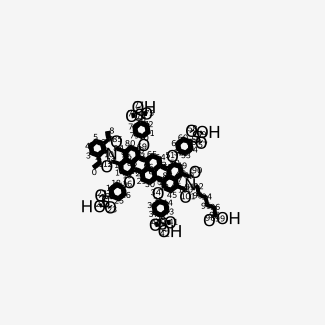 C=Cc1cccc(C=C)c1N1C(=O)c2cc(Oc3ccc(S(=O)(=O)O)cc3)c3c4ccc5c6c(Oc7ccc(S(=O)(=O)O)cc7)cc7c8c(cc(Oc9ccc(S(=O)(=O)O)cc9)c(c9ccc(c%10c(Oc%11ccc(S(=O)(=O)O)cc%11)cc(c2c3%10)C1=O)c4c59)c86)C(=O)N(CCCCCC(=O)O)C7=O